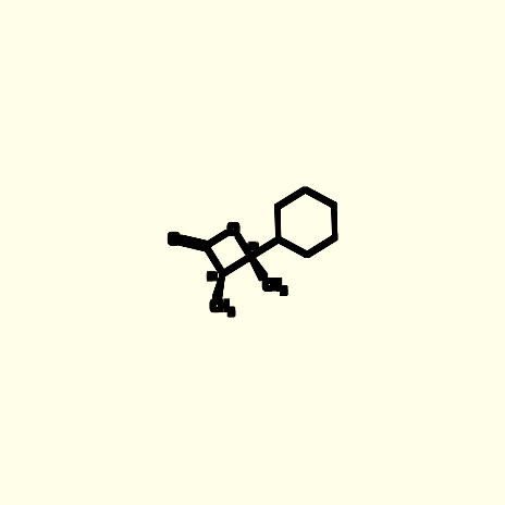 C[C@H]1C(=O)O[C@]1(C)C1CCCCC1